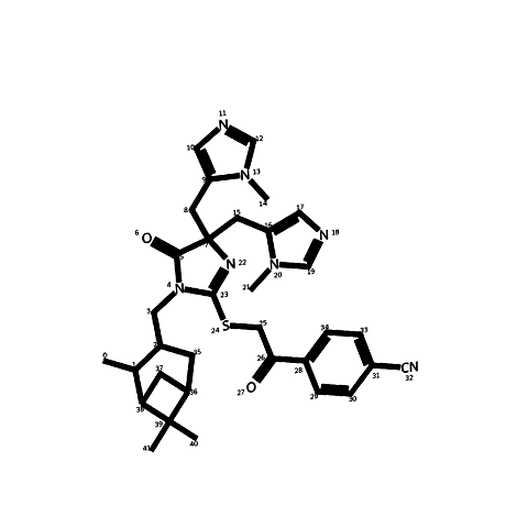 CC1C(CN2C(=O)C(Cc3cncn3C)(Cc3cncn3C)N=C2SCC(=O)c2ccc(C#N)cc2)CC2CC1C2(C)C